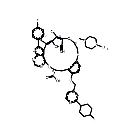 C#C/C1=C(Cl)\C(C)=C(/CC)c2c(-c3ccc(F)cc3)sc3ncnc(c23)O[C@@H](C(=O)O)Cc2cc(ccc2OCc2ccnc(C3CCC(F)CC3)n2)OC[C@@H](CN2CCN(C)CC2)O1